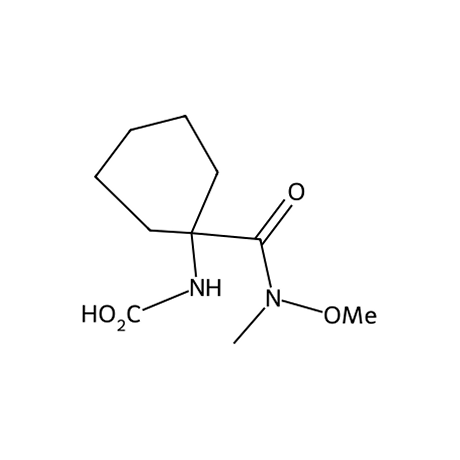 CON(C)C(=O)C1(NC(=O)O)CCCCC1